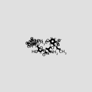 CCCC[C@H](OCc1cn([C@H]2C[C@@H](O)C(COP(=O)(O)OP(=O)(O)OP(=O)(O)O)O2)c(=O)nc1N)c1cc(OC)ccc1[N+](=O)[O-]